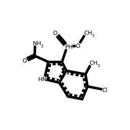 CO[PH](=O)c1c(C(N)=O)[nH]c2ccc(Cl)c(C)c12